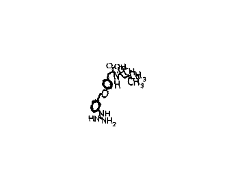 CC(C)(C)CC(=O)NC(Cc1ccc(OCc2cccc(NC(=N)N)c2)cc1)C(=O)O